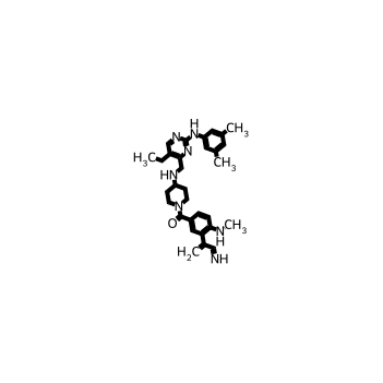 C=C(C=N)c1cc(C(=O)N2CCC(NCc3nc(Nc4cc(C)cc(C)c4)ncc3CC)CC2)ccc1NC